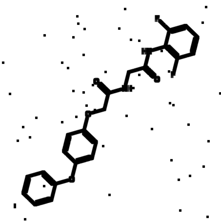 O=C(COc1ccc(Oc2ccccc2)cc1)NCC(=O)Nc1c(F)cccc1F